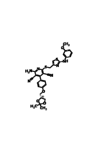 COc1cccc(Nc2nc(CSc3nc(N)c(C#N)c(-c4ccc(OC[C@@H]5COC(C)(C)O5)cc4)c3C#N)cs2)c1